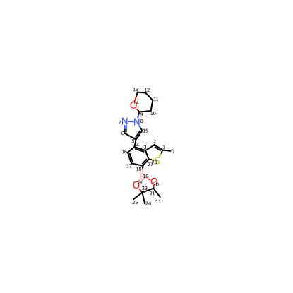 Cc1cc2c(-c3cnn(C4CCCCO4)c3)ccc(B3OC(C)C(C)(C)O3)c2s1